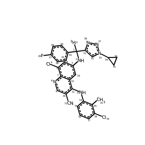 [2H]C(Nc1cc(Cl)c2ncc(C#N)c(Nc3cccc(Cl)c3C)c2c1)(c1ccc(F)cc1)c1cn(C2CC2)nn1